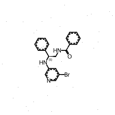 O=C(NC[C@@H](Nc1cncc(Br)c1)c1ccccc1)c1ccccc1